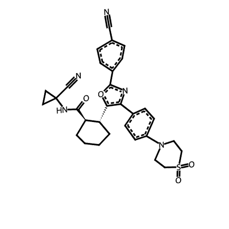 N#Cc1ccc(-c2nc(-c3ccc(N4CCS(=O)(=O)CC4)cc3)c([C@@H]3CCCC[C@H]3C(=O)NC3(C#N)CC3)o2)cc1